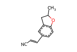 CC1Cc2cc(C=CC#N)ccc2O1